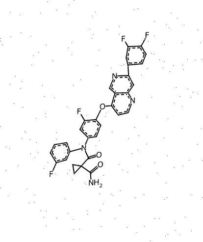 NC(=O)C1(C(=O)N(c2cccc(F)c2)c2ccc(Oc3ccnc4cc(-c5ccc(F)c(F)c5)ncc34)c(F)c2)CC1